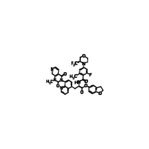 Cc1cc(N2CCOC[C@@H]2C(F)(F)F)cc(F)c1C(=O)NC(Cc1ccc(-n2c(=O)c3ccncc3n(C)c2=O)c2ncccc12)C(=O)Oc1ccc2c(c1)CCO2